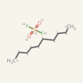 CCCCCCCCCC.O=S(=O)(F)F